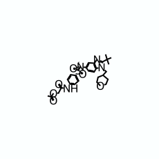 CC(=O)OCC(=O)Nc1ccc(S(=O)(=O)N(C)c2ccc3c(c2)nc(C(C)(C)C)n3CC2CCOCC2)cc1